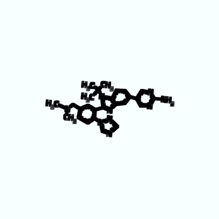 CN(C)Cc1ccc(-n2cncn2)c(-c2nc3cc(-c4cnc(N)nc4)ccc3n2C(C)(C)C)c1